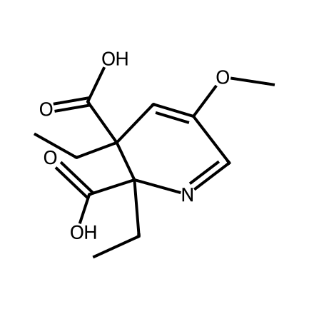 CCC1(C(=O)O)C=C(OC)C=NC1(CC)C(=O)O